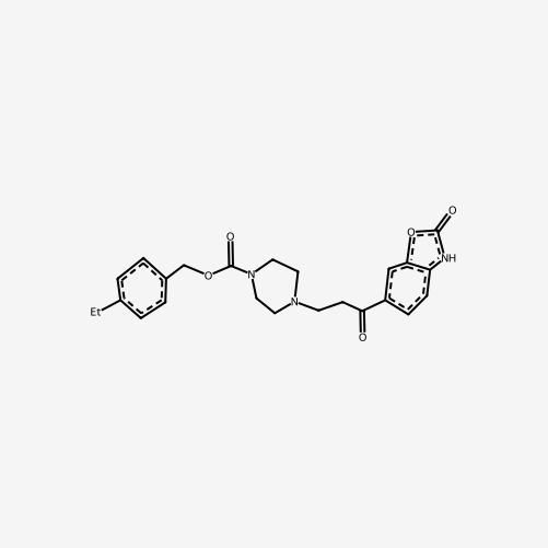 CCc1ccc(COC(=O)N2CCN(CCC(=O)c3ccc4[nH]c(=O)oc4c3)CC2)cc1